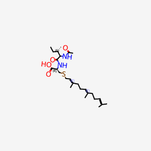 CC[C@H](C)C(NC(C)=O)C(=O)N[C@@H](CSC/C=C(\C)CC/C=C(\C)CCC=C(C)C)C(=O)O